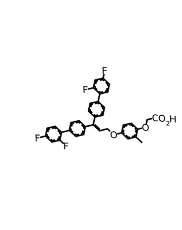 Cc1cc(OCC=C(c2ccc(-c3ccc(F)cc3F)cc2)c2ccc(-c3ccc(F)cc3F)cc2)ccc1OCC(=O)O